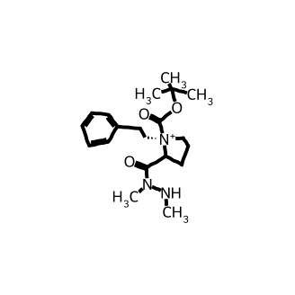 CNN(C)C(=O)C1CCC[N@+]1(CCc1ccccc1)C(=O)OC(C)(C)C